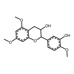 COc1cc(OC)c2c(c1)OC(c1ccc(OC)c(O)c1)C(O)C2